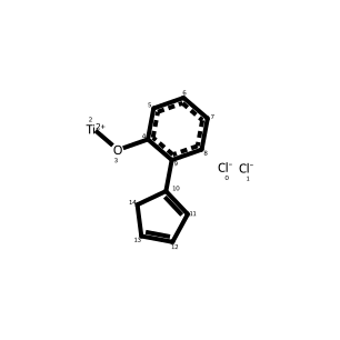 [Cl-].[Cl-].[Ti+2][O]c1ccccc1C1=CC=CC1